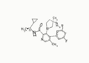 Cc1cnc(C(=O)N[C@@H](C)C2CC2)c(N2CCC(C)(N)C2)c1-c1cc(F)cc(F)c1